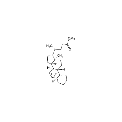 COC(=O)CC[C@@H](C)[C@H]1CC[C@H]2[C@@H]3CC[C@@H]4CCCC[C@]4(C)[C@H]3CC[C@]12C